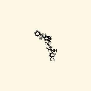 N#Cc1ccc(N[C@@H]2CCN(C(=O)OC3C4CC5CC3CC(C(=O)NC3CCCCC3)(C5)C4)C2)nc1